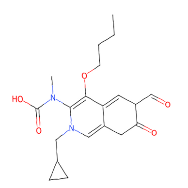 CCCCOC1=C(N(C)C(=O)O)N(CC2CC2)C=C2CC(=O)C(C=O)C=C21